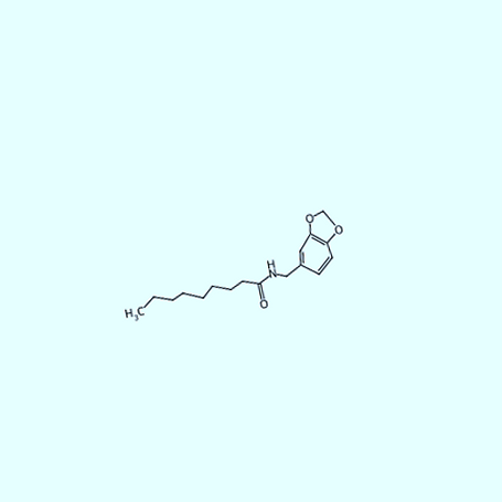 CCCCCCCCC(=O)NCc1ccc2c(c1)OCO2